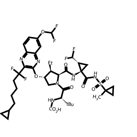 CC[C@@H]1[C@@H](Oc2nc3cc(OC(F)F)ccc3nc2C(F)(F)CCCCC2CC2)CN(C(=O)[C@@H](NC(=O)O)C(C)(C)C)[C@@H]1C(=O)N[C@]1(C(=O)NS(=O)(=O)C2(C)CC2)C[C@H]1C(F)F